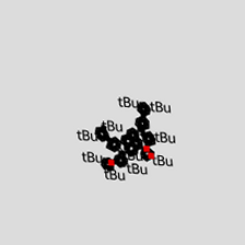 CC(C)(C)c1cc(-c2cc(C(C)(C)C)cc(C(C)(C)C)c2)cc(N(c2ccc(-c3cc(C(C)(C)C)cc(C(C)(C)C)c3)cc2)c2ccc3ccc4c(N(c5ccc(-c6cc(C(C)(C)C)cc(C(C)(C)C)c6)cc5)c5cc(-c6cc(C(C)(C)C)cc(C(C)(C)C)c6)cc(C(C)(C)C)c5)ccc5ccc2c3c54)c1